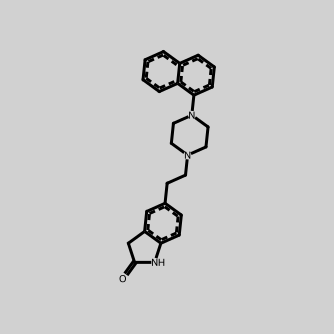 O=C1Cc2cc(CCN3CCN(c4cccc5ccccc45)CC3)ccc2N1